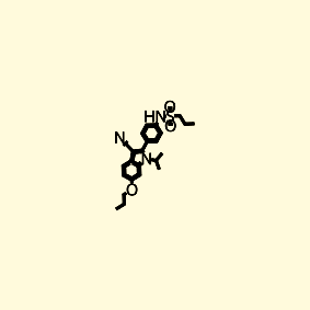 CCCOc1ccc2c(C#N)c(-c3ccc(NS(=O)(=O)CCC)cc3)n(C(C)C)c2c1